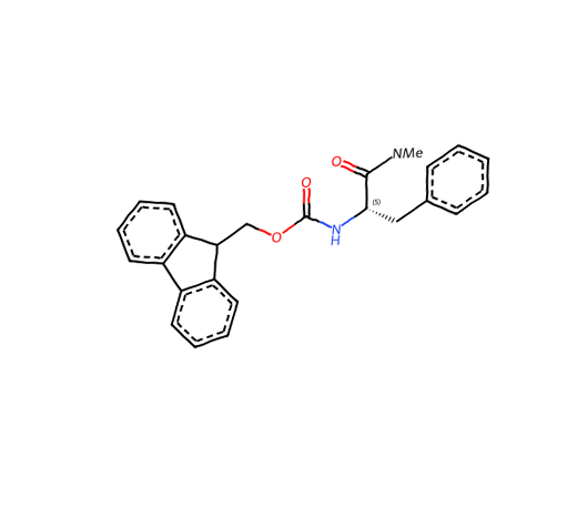 CNC(=O)[C@H](Cc1ccccc1)NC(=O)OCC1c2ccccc2-c2ccccc21